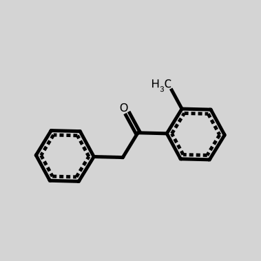 Cc1ccccc1C(=O)Cc1ccccc1